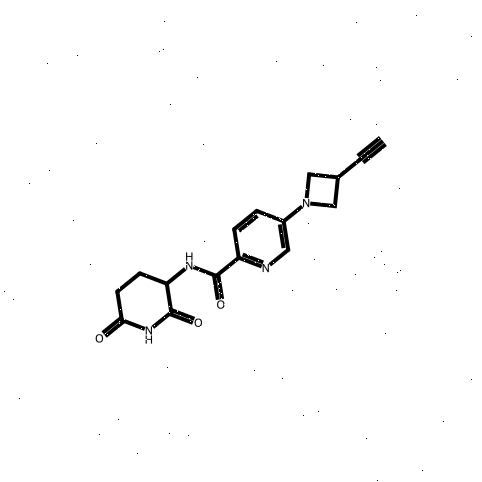 C#CC1CN(c2ccc(C(=O)NC3CCC(=O)NC3=O)nc2)C1